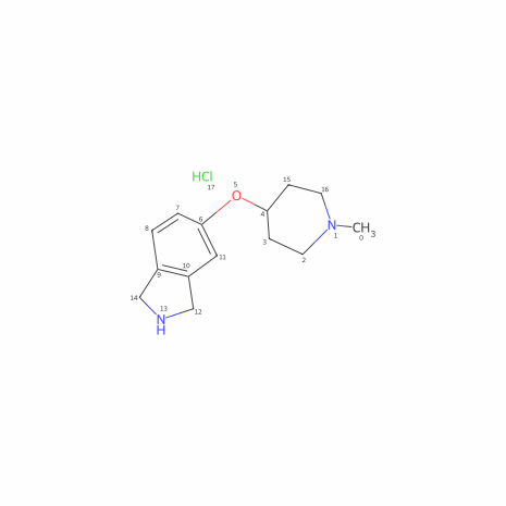 CN1CCC(Oc2ccc3c(c2)CNC3)CC1.Cl